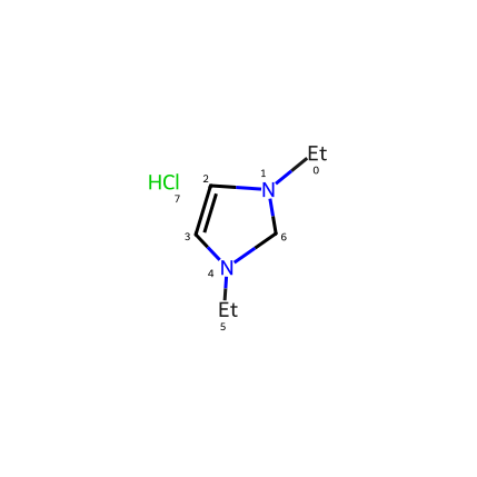 CCN1C=CN(CC)C1.Cl